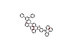 Fc1cc(C2C=CC=CC2)cc(-c2ccccc2)c1C[C@@H](c1ccc2c(c1)c1ccccc1c1c3ccc(N(c4ccccc4)c4ccccc4-c4ccccc4)cc3sc21)c1ccccc1-c1ccccc1